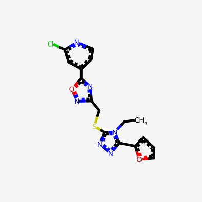 CCn1c(SCc2noc(-c3ccnc(Cl)c3)n2)nnc1-c1ccco1